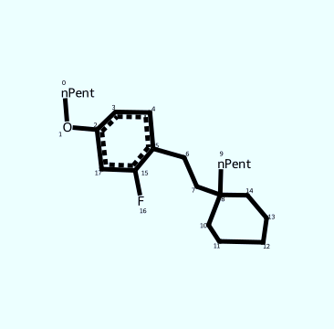 CCCCCOc1ccc(CCC2(CCCCC)CCCCC2)c(F)c1